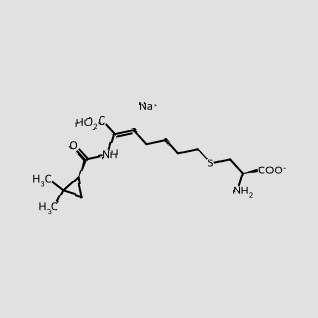 CC1(C)C[C@@H]1C(=O)N/C(=C\CCCCSC[C@H](N)C(=O)[O-])C(=O)O.[Na+]